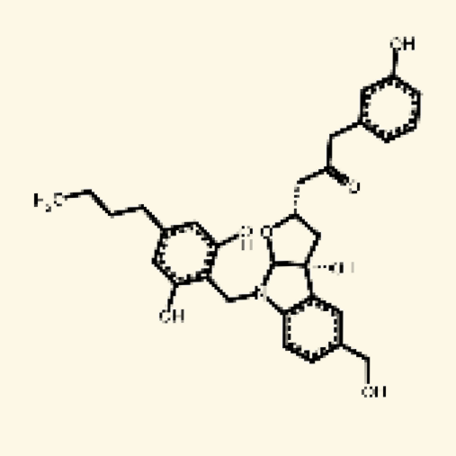 CCCCc1cc(O)c(CN2c3ccc(CO)cc3[C@]3(O)C[C@@H](CC(=O)Cc4cccc(O)c4)OC23)c(O)c1